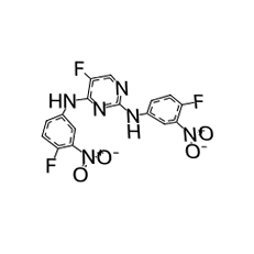 O=[N+]([O-])c1cc(Nc2ncc(F)c(Nc3ccc(F)c([N+](=O)[O-])c3)n2)ccc1F